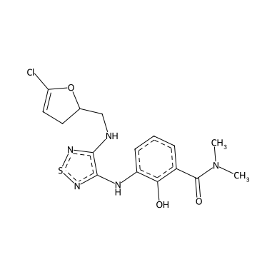 CN(C)C(=O)c1cccc(Nc2nsnc2NCC2CC=C(Cl)O2)c1O